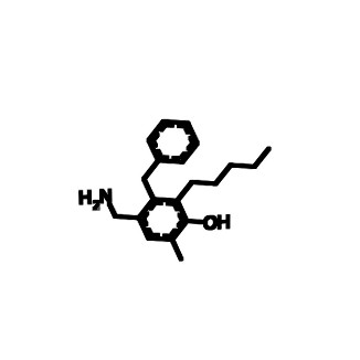 CCCCCc1c(O)c(C)cc(CN)c1Cc1ccccc1